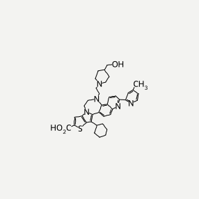 Cc1ccnc(-c2ccc3c4c(ccc3n2)-c2c(C3CCCCC3)c3sc(C(=O)O)cc3n2CCN4CCN2CCC(CO)CC2)c1